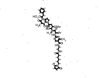 CCC(C)C(C(CC(=O)N1CCC[C@H]1C(OC)C(C)C(=O)NC(Cc1ccccc1)C(=O)O)OC)N(C)C(=O)C(Nc1ncc(C(=O)NCCNC(=O)CCCCCN2C(=O)C=CC2=O)c(C)n1)C(C)C